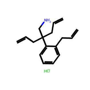 C=CCc1ccccc1C(CN)(CC=C)CC=C.Cl